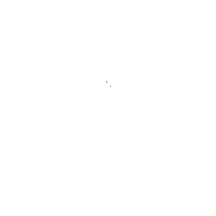 [CH2]C#C[N+](C)(C)C